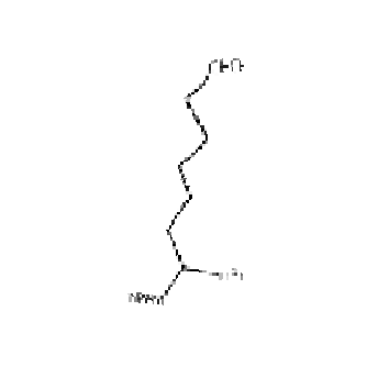 CCCCCC(CCC)CCCCC[C]=O